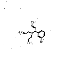 C=CCN(CC=C)C(C=NO)c1cccc(Br)c1